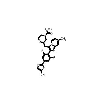 COC(=O)N1CCOC(Cc2c(-c3c(F)cc(-c4ncc(C#N)o4)cc3F)nc3cc(C)ccn23)C1